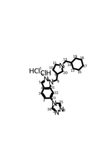 Cl.Cl.c1cc2cnn(CC3CCN(CC4CCCCC4)C3)c2cc1-n1cnnc1